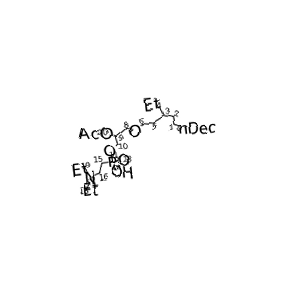 CCCCCCCCCCCCC(CC)CCOCC(COP(=O)(O)CCN(CC)CC)OC(C)=O